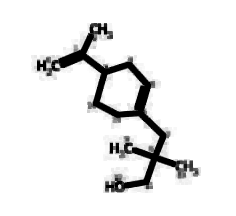 C=C(C)C1CC=C(CC(C)(C)CO)CC1